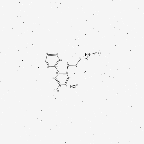 CC(C)(C)NCCCOc1ccc(Cl)cc1-c1ccccc1.Cl